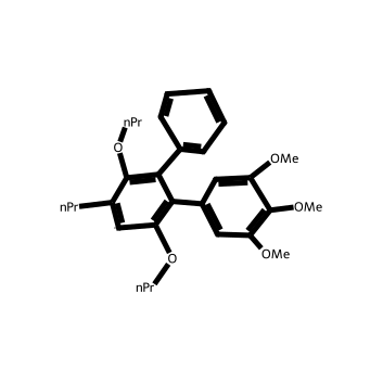 CCCOc1[c]c(CCC)c(OCCC)c(-c2ccccc2)c1-c1cc(OC)c(OC)c(OC)c1